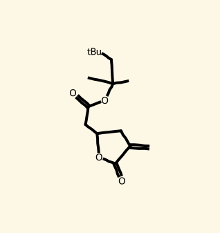 C=C1CC(CC(=O)OC(C)(C)CC(C)(C)C)OC1=O